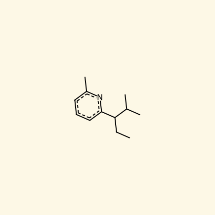 CCC(c1cccc(C)n1)C(C)C